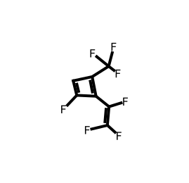 FC1=CC(C(F)(F)F)=C1C(F)=C(F)F